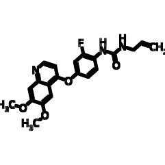 C=CCNC(=O)Nc1ccc(Oc2ccnc3cc(OC)c(OC)cc23)cc1F